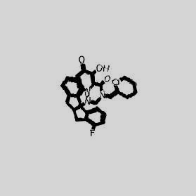 O=C1c2c(O)c(=O)ccn2N(C23c4ccccc4CC2Cc2c(F)cccc23)CN1CC1CCCCO1